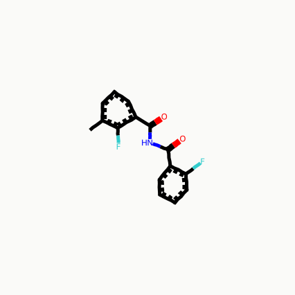 Cc1cccc(C(=O)NC(=O)c2ccccc2F)c1F